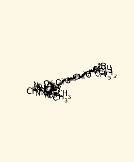 CC1(C)O[C@@H]2[C@@H](Nc3nc(Cl)ns3)[C@@H]3OC[C@](COCCOCCOCCOCCO[Si](C)(C)C(C)(C)C)(O3)[C@@H]2O1